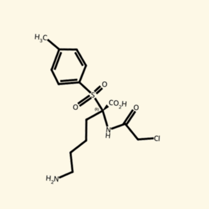 Cc1ccc(S(=O)(=O)[C@@](CCCCN)(NC(=O)CCl)C(=O)O)cc1